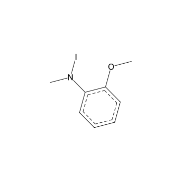 COc1ccccc1N(C)I